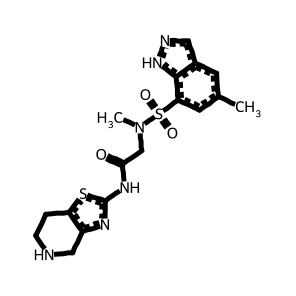 Cc1cc(S(=O)(=O)N(C)CC(=O)Nc2nc3c(s2)CCNC3)c2[nH]ncc2c1